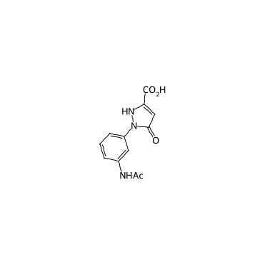 CC(=O)Nc1cccc(-n2[nH]c(C(=O)O)cc2=O)c1